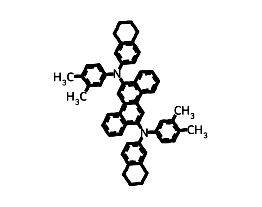 Cc1ccc(N(c2ccc3c(c2)CCCC3)c2cc3c4ccccc4c(N(c4ccc(C)c(C)c4)c4ccc5c(c4)CCCC5)cc3c3ccccc23)cc1C